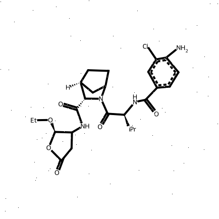 CCO[C@@H]1OC(=O)CC1NC(=O)[C@@H]1[C@H]2CCC(C2)N1C(=O)[C@@H](NC(=O)c1ccc(N)c(Cl)c1)C(C)C